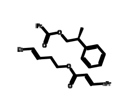 CC(C)C(=O)OC[C@@H](C)c1ccccc1.CCC=CCCOC(=O)C=CCCC